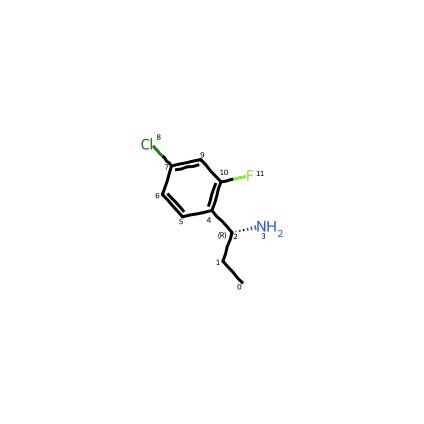 CC[C@@H](N)c1ccc(Cl)cc1F